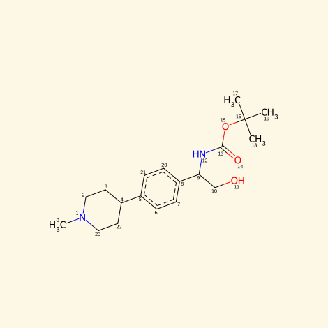 CN1CCC(c2ccc(C(CO)NC(=O)OC(C)(C)C)cc2)CC1